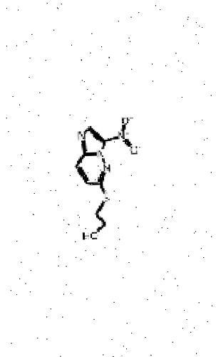 O=[N+]([O-])c1cnc2ccc(SCCO)nn12